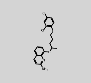 CC(CCCOc1ccc(Cl)cc1Cl)Oc1cccc2ccc(N)nc12